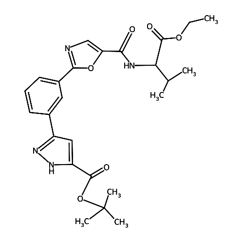 CCOC(=O)C(NC(=O)c1cnc(-c2cccc(-c3cc(C(=O)OC(C)(C)C)[nH]n3)c2)o1)C(C)C